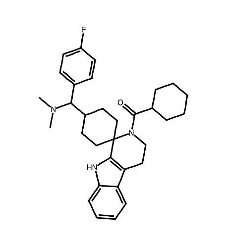 CN(C)C(c1ccc(F)cc1)C1CCC2(CC1)c1[nH]c3ccccc3c1CCN2C(=O)C1CCCCC1